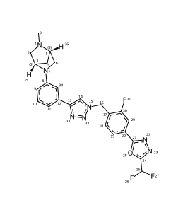 CN1C[C@@H]2C[C@H]1CN2c1cccc(-c2cn(Cc3ccc(-c4nnc(C(F)F)o4)cc3F)nn2)c1